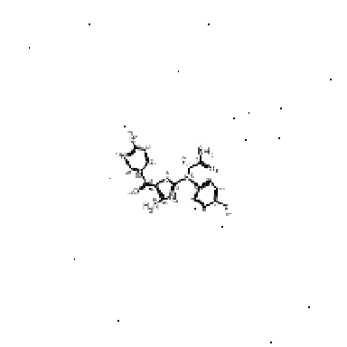 C[C@H](C(N)=O)N(c1ccc(F)cc1)c1nc(N)c(C(=O)c2ccc(Br)nc2)s1